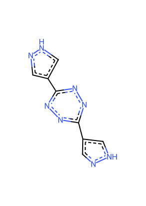 c1n[nH]cc1-c1nnc(-c2cn[nH]c2)nn1